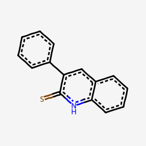 S=c1[nH]c2ccccc2cc1-c1ccccc1